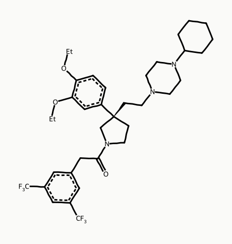 CCOc1ccc([C@]2(CCN3CCN(C4CCCCC4)CC3)CCN(C(=O)Cc3cc(C(F)(F)F)cc(C(F)(F)F)c3)C2)cc1OCC